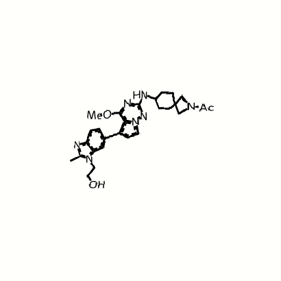 COc1nc(NC2CCC3(CC2)CN(C(C)=O)C3)nn2ccc(-c3ccc4nc(C)n(CCO)c4c3)c12